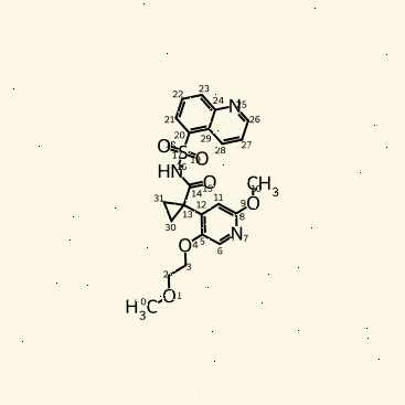 COCCOc1cnc(OC)cc1C1(C(=O)NS(=O)(=O)c2cccc3ncccc23)CC1